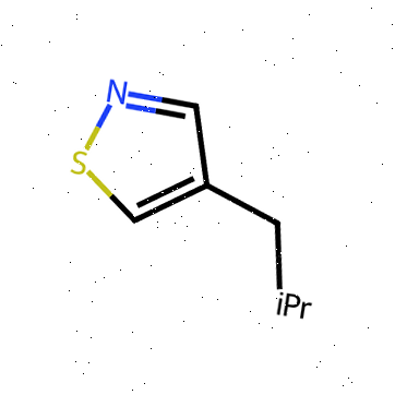 CC(C)Cc1cnsc1